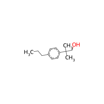 CCCc1ccc(C(C)(C)CO)cc1